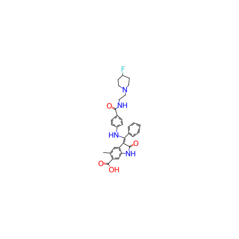 Cc1cc2c(cc1C(=O)O)NC(=O)/C2=C(/Nc1ccc(C(=O)NCCN2CCC(F)CC2)cc1)c1ccccc1